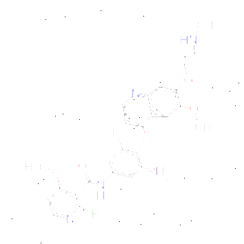 CNCCOc1cc2nccc(Oc3c(F)cc(NC(=O)c4c(OC)ccnc4F)cc3P)c2cc1OC